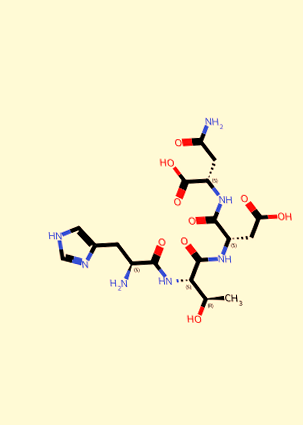 C[C@@H](O)[C@H](NC(=O)[C@@H](N)Cc1c[nH]cn1)C(=O)N[C@@H](CC(=O)O)C(=O)N[C@@H](CC(N)=O)C(=O)O